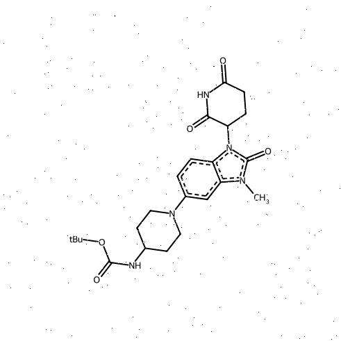 Cn1c(=O)n(C2CCC(=O)NC2=O)c2ccc(N3CCC(NC(=O)OC(C)(C)C)CC3)cc21